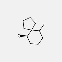 CC1CCCC(=O)C12CCCC2